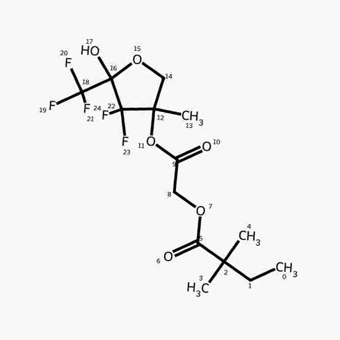 CCC(C)(C)C(=O)OCC(=O)OC1(C)COC(O)(C(F)(F)F)C1(F)F